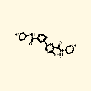 Nc1ncc(-c2cccc(C(=O)N[C@@H]3CCNC3)c2)nc1C(=O)N[C@H]1CCCNC1